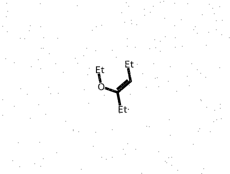 C[CH]C(=CCC)OCC